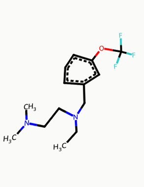 CCN(CCN(C)C)Cc1cccc(OC(F)(F)F)c1